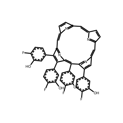 Oc1cc(C2=CC3=CC4=NC(=CC5=NC(=CC6=NC(=C(c7ccc(F)c(O)c7)C2=N3)C(c2ccc(F)c(O)c2)=C6c2ccc(F)c(O)c2)C=C5)C=C4)ccc1F